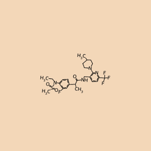 CCN(c1ccc(C(C)C(=O)NCc2ccc(C(F)(F)F)nc2N2CCC(C)CC2)cc1F)S(C)(=O)=O